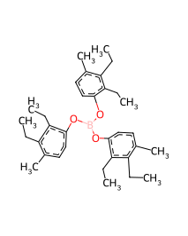 CCc1c(C)ccc(OB(Oc2ccc(C)c(CC)c2CC)Oc2ccc(C)c(CC)c2CC)c1CC